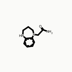 NC(=O)CN1CCCNc2ccccc21